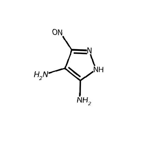 Nc1[nH]nc(N=O)c1N